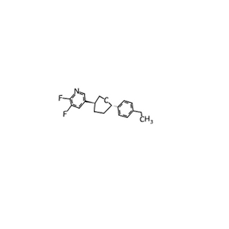 CCc1ccc([C@H]2CC[C@H](c3cnc(F)c(F)c3)CC2)cc1